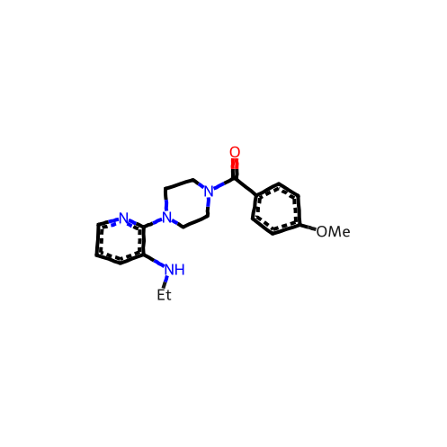 CCNc1cccnc1N1CCN(C(=O)c2ccc(OC)cc2)CC1